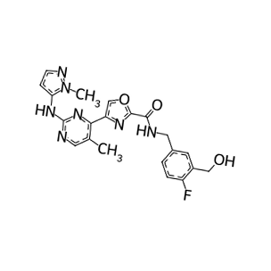 Cc1cnc(Nc2ccnn2C)nc1-c1coc(C(=O)NCc2ccc(F)c(CO)c2)n1